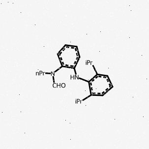 CCCN(C=O)c1ccccc1Nc1c(C(C)C)cccc1C(C)C